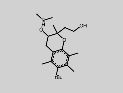 Cc1c(C)c(C(C)(C)C)c(C)c2c1OC(C)(CCO)C(O[SiH](C)C)C2